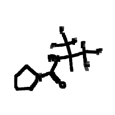 CC(NC(=O)N1CCCC1)(C(F)(F)F)C(F)(F)F